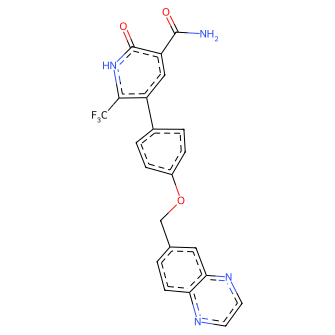 NC(=O)c1cc(-c2ccc(OCc3ccc4nccnc4c3)cc2)c(C(F)(F)F)[nH]c1=O